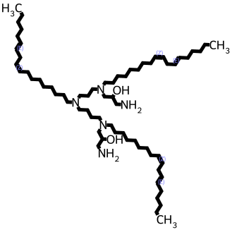 CCCCC/C=C/C/C=C\CCCCCCCCN(CCCCN(CCCCCCCC/C=C\C/C=C/CCCCC)CC(O)CN)CCCN(CCCCCCCC/C=C\C/C=C/CCCCC)CC(O)CN